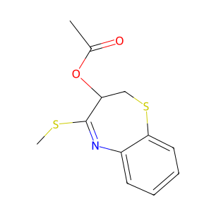 CSC1=Nc2ccccc2SCC1OC(C)=O